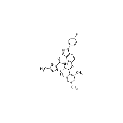 Cc1ccc([C@H](Oc2ccc3c(cnn3-c3ccc(F)cc3)c2)[C@H](C)NC(=O)c2ncc(C)s2)c(C)c1